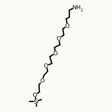 C[Si](C)(C)OCCOCCOCCOCCOCCOCCCN